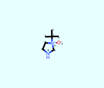 CC(C)(C)[N+]1([O-])CCNC1